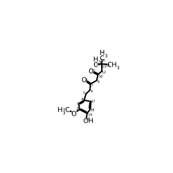 COc1cc(CCC(=O)CC(=O)CC(C)(C)C)ccc1O